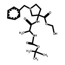 CC(NC(=O)OC(C)(C)C)C(=O)NC1(C(=O)OCO)CCN(Cc2ccccc2)C1